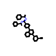 C#Cc1cccc(-c2ccc(-c3ccc(C(=N/C(=C)c4ccccc4)/N=C(\C)c4ccccc4)cc3)c3ccccc23)c1